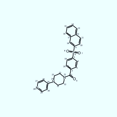 O=C(c1ccc(S(=O)(=O)c2ccc3ccccc3c2)cc1)N1CCN(c2ccncc2)CC1